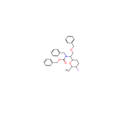 CC1OC(C(COCc2ccccc2)N(Cc2ccccc2)C(=O)OCc2ccccc2)CCC1I